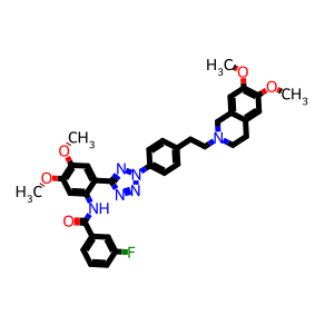 COc1cc2c(cc1OC)CN(CCc1ccc(-n3nnc(-c4cc(OC)c(OC)cc4NC(=O)c4cccc(F)c4)n3)cc1)CC2